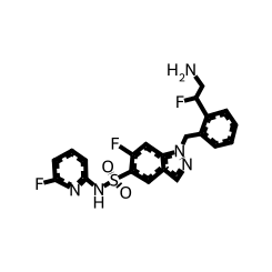 NCC(F)c1ccccc1Cn1ncc2cc(S(=O)(=O)Nc3cccc(F)n3)c(F)cc21